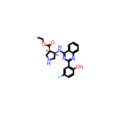 CCOC(=O)[C@@H]1CNC[C@@H]1Nc1nc(-c2cc(F)ccc2O)nc2ccccc12